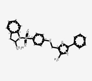 Cc1oc(-c2ccccc2)nc1COc1ccc(S(=O)(=O)N2c3ccccc3CC2C(=O)O)cc1